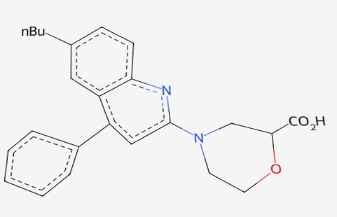 CCCCc1ccc2nc(N3CCOC(C(=O)O)C3)cc(-c3ccccc3)c2c1